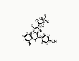 Cc1sc(N(Cc2c(F)cccc2F)c2ccc(C#N)cc2)nc1C(=O)NS(C)(=O)=O